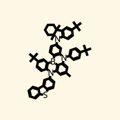 Cc1cc2c3c(c1)N(c1ccc(C(C)(C)C)cc1)c1cc(N4c5ccc(C(C)(C)C)cc5C5(C)CCCCC45C)ccc1B3c1cc(C(C)(C)C)ccc1N2c1ccc2sc3ccccc3c2c1